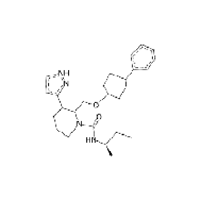 CC[C@@H](C)NC(=O)N1CCCC(c2cc[nH]n2)C1COC1CCC(c2ccccc2)CC1